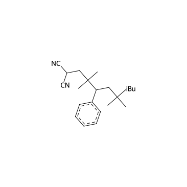 CCC(C)C(C)(C)CC(c1ccccc1)C(C)(C)CC(C#N)C#N